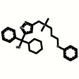 C[N+](C)(CCCOc1ccccc1)Cc1cc(C(O)(c2ccccc2)C2CCCCC2)on1